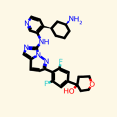 N[C@H]1CCC[C@@H](c2ccncc2Nc2ncc3ccc(-c4c(F)cc(C5(O)CCOCC5)cc4F)nn23)C1